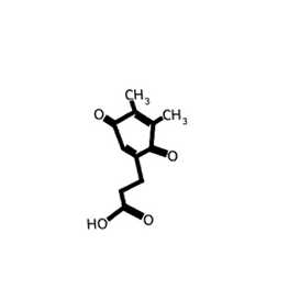 CC1=C(C)C(=O)C(CCC(=O)O)=CC1=O